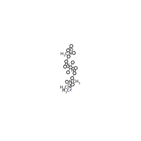 C=Cc1oc2c(N(c3ccccc3)c3ccc(-c4ccc5c6cccc7c8c(-c9ccccc9)c9c(c(-c%10ccccc%10)c8n(c5c4)c67)c4cccc5c6ccc(-c7ccc(N(c8ccccc8)c8c(C)ccc%10c8oc8ccccc8%10)cc7)cc6n9c54)cc3)c(C)ccc2c1/C=C\C